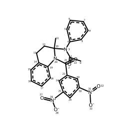 CC(=O)N(c1ccccc1)C1(C)CCc2ccccc2N1C(=O)c1cc([N+](=O)[O-])cc([N+](=O)[O-])c1